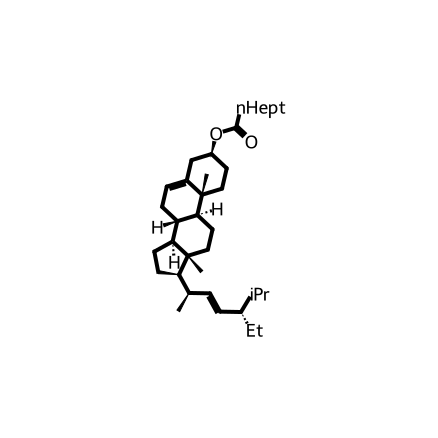 CCCCCCCC(=O)O[C@H]1CC[C@@]2(C)C(=CC[C@H]3[C@@H]4CC[C@H]([C@H](C)/C=C/[C@@H](CC)C(C)C)[C@@]4(C)CC[C@@H]32)C1